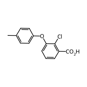 Cc1ccc(Oc2cccc(C(=O)O)c2Cl)cc1